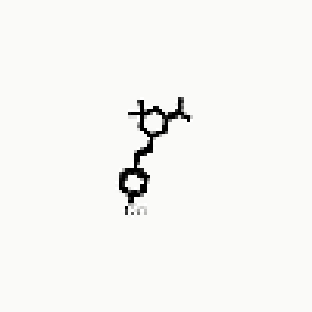 CC(C)=C1CC(C=Cc2ccc(O)cc2)CC(C)(C)C1